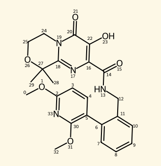 COc1ccc(-c2ccccc2CNC(=O)c2nc3n(c(=O)c2O)CCOC3(C)C)c(OC)n1